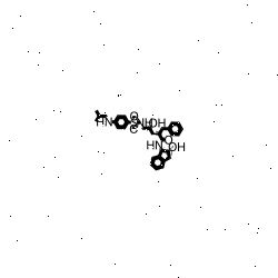 CC(C)CNc1ccc(S(=O)(=O)NC[C@@H](O)C[C@@H](Cc2ccccc2)C(=O)N[C@H]2c3ccccc3C[C@H]2O)cc1